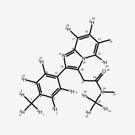 [2H]c1c([2H])c(C([2H])([2H])[2H])c([2H])c([2H])c1-c1nc2c([2H])c([2H])c(C)c([2H])n2c1CC(=O)N(C)C([2H])([2H])[2H]